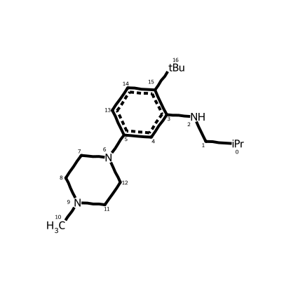 CC(C)CNc1cc(N2CCN(C)CC2)ccc1C(C)(C)C